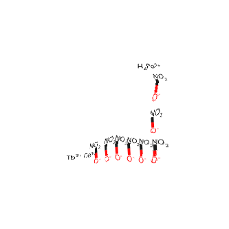 O=[N+]([O-])[O-].O=[N+]([O-])[O-].O=[N+]([O-])[O-].O=[N+]([O-])[O-].O=[N+]([O-])[O-].O=[N+]([O-])[O-].O=[N+]([O-])[O-].O=[N+]([O-])[O-].[Ce+3].[PoH4+2].[Tb+3]